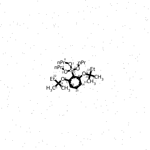 CCCO[Si](OCCC)(OCCC)c1c(OC(C)(C)CC)cccc1OC(C)(C)CC